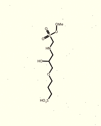 COOS(=O)(=O)CNCC(O)COCCCS(=O)(=O)O